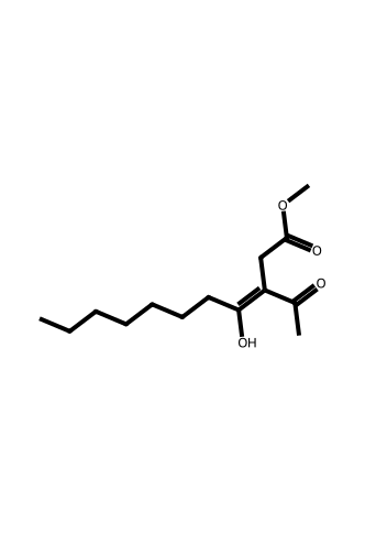 CCCCCCC/C(O)=C(\CC(=O)OC)C(C)=O